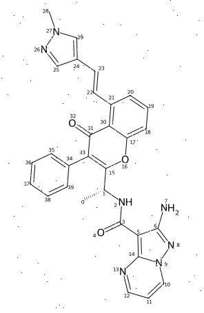 C[C@@H](NC(=O)c1c(N)nn2cccnc12)c1oc2cccc(/C=C/c3cnn(C)c3)c2c(=O)c1-c1ccccc1